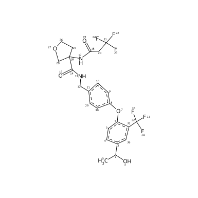 CC(O)c1ccc(Oc2ccc(CNC(=O)C3(NC(=O)CC(F)(F)F)CCOC3)cc2)c(C(F)(F)F)c1